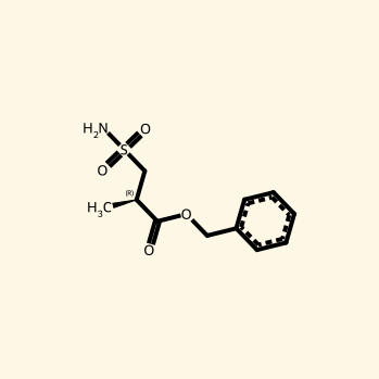 C[C@@H](CS(N)(=O)=O)C(=O)OCc1ccccc1